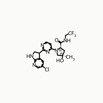 C[C@@]1(O)C[C@H](C(=O)NCC(F)(F)F)N(c2ccnc(C3CNc4ncc(Cl)cc43)n2)C1